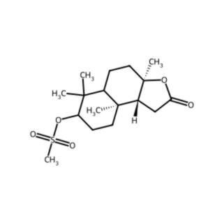 CC1(C)C(OS(C)(=O)=O)CC[C@@]2(C)C1CC[C@@]1(C)OC(=O)C[C@@H]12